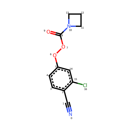 N#Cc1ccc(OOC(=O)N2CCC2)cc1Cl